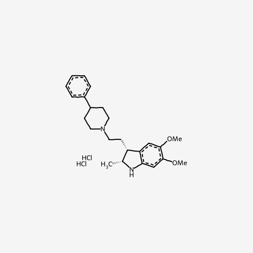 COc1cc2c(cc1OC)[C@@H](CCN1CCC(c3ccccc3)CC1)[C@@H](C)N2.Cl.Cl